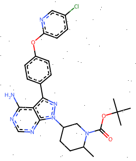 CC1CCC(n2nc(-c3ccc(Oc4ccc(Cl)cn4)cc3)c3c(N)ncnc32)CN1C(=O)OC(C)(C)C